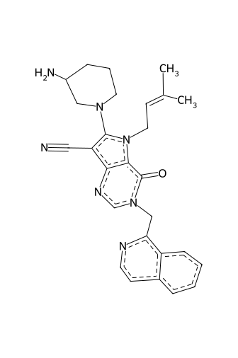 CC(C)=CCn1c(N2CCCC(N)C2)c(C#N)c2ncn(Cc3nccc4ccccc34)c(=O)c21